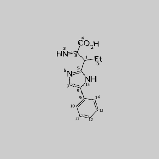 CCC(C(=N)C(=O)O)c1ncc(-c2ccccc2)[nH]1